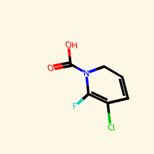 O=C(O)N1CC=CC(Cl)=C1F